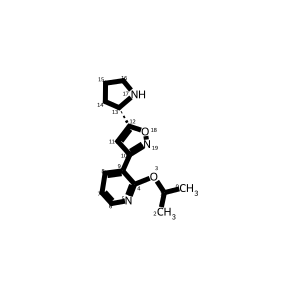 CC(C)Oc1ncccc1-c1cc([C@@H]2CCCN2)on1